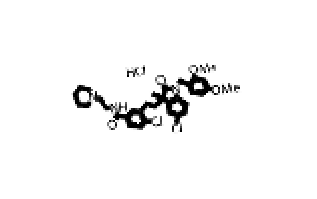 COc1ccc(CN2C(=O)C(C)(CCc3cc(C(=O)NCCN4CCCCC4)ccc3Cl)c3cc(Cl)ccc32)c(OC)c1.Cl